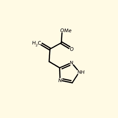 C=C(Cc1nc[nH]n1)C(=O)OC